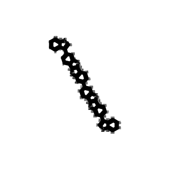 c1ccc2c(-c3ccc4c(c3)sc3c5ccc(-c6ccc7c(c6)sc6c8ccc(-c9csc%10ccccc9%10)cc8sc76)cc5sc43)csc2c1